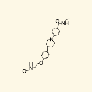 CCNC(=O)c1ccc(N2CCC(c3ccc(OCCNC=O)cc3)CC2)cc1